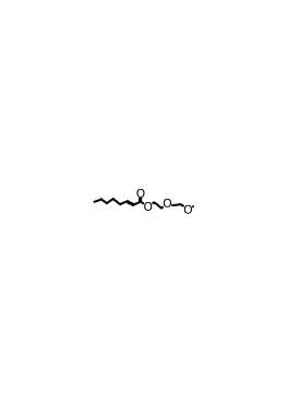 CCCCCC=CC(=O)OCCOCCOC